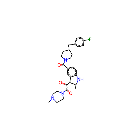 CC1Nc2ccc(C(=O)N3CCC(Cc4ccc(F)cc4)CC3)cc2C1C(=O)C(=O)N1CCN(C)CC1